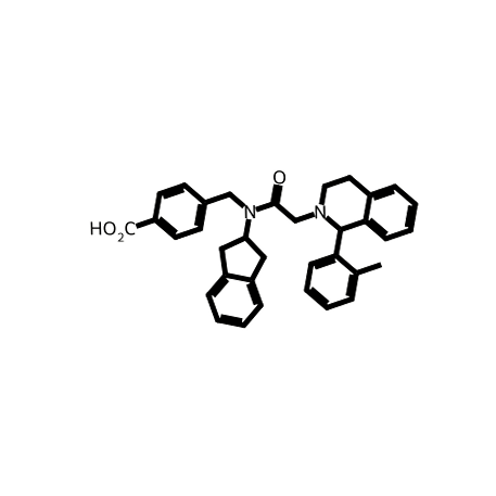 Cc1ccccc1C1c2ccccc2CCN1CC(=O)N(Cc1ccc(C(=O)O)cc1)C1Cc2ccccc2C1